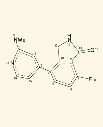 CNc1cc(-c2ccc(F)c3c2CNC3=O)ccn1